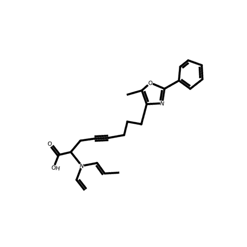 C=CN(C=CC)C(CC#CCCCc1nc(-c2ccccc2)oc1C)C(=O)O